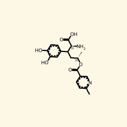 Cc1ccc(C(=O)O[C@@H](C)CC(c2ccc(O)c(O)c2)[C@H](N)C(=O)O)cn1